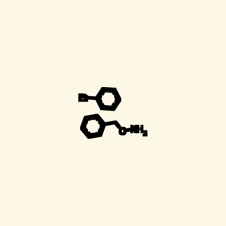 CCc1ccccc1.NOCc1ccccc1